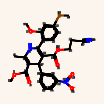 COC(=O)C1=C(C)NC(c2ccc(SC)cc2OC)=C(C(=O)OCCC#N)C1c1cccc([N+](=O)[O-])c1